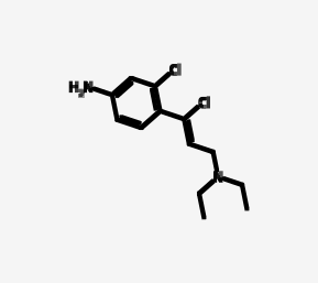 CCN(CC)CC=C(Cl)c1ccc(N)cc1Cl